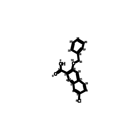 O=C(O)c1nc2cc(Cl)ccc2cc1OCc1ccccc1